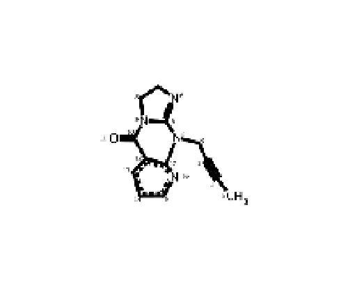 CC#CCN1C2=NCCN2C(=O)c2cccnc21